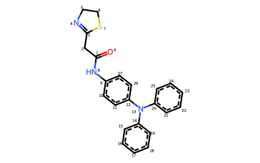 O=C(CC1=NCCS1)Nc1ccc(N(c2ccccc2)c2ccccc2)cc1